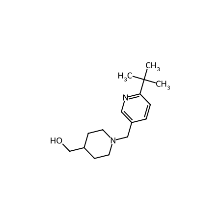 CC(C)(C)c1ccc(CN2CCC(CO)CC2)cn1